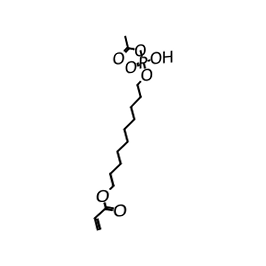 C=CC(=O)OCCCCCCCCCCOP(=O)(O)OC(C)=O